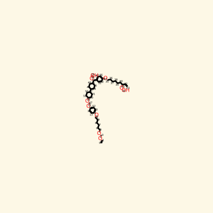 C=COCOCCCCCCOc1ccc(OCOC2CCC(C3CCC(C(OO)c4ccc(OCCCCCCC(C=C)OO)cc4)CC3)CC2)cc1